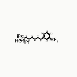 CC(C)[Si](O)(CCCCCCc1cccc(C(F)(F)F)c1)C(C)C